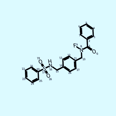 O=C(c1ccccc1)N(F)Cc1ccc(CNS(=O)(=O)c2ccccc2)cc1